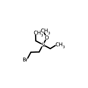 CC[Si](CC)(CCBr)OC